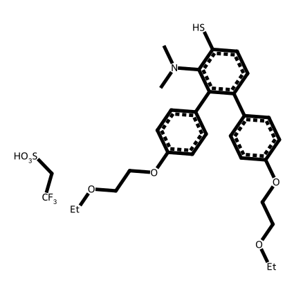 CCOCCOc1ccc(-c2ccc(S)c(N(C)C)c2-c2ccc(OCCOCC)cc2)cc1.O=S(=O)(O)CC(F)(F)F